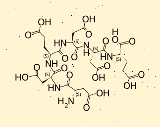 N[C@@H](CC(=O)O)C(=O)N[C@@H](CC(=O)O)C(=O)N[C@@H](CCC(=O)O)C(=O)N[C@@H](CC(=O)O)C(=O)N[C@@H](CC(=O)O)C(=O)N[C@@H](CCC(=O)O)C(=O)O